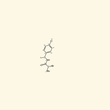 CC(NC(=O)C(Br)C(C)(C)C)c1ccc(Cl)cc1